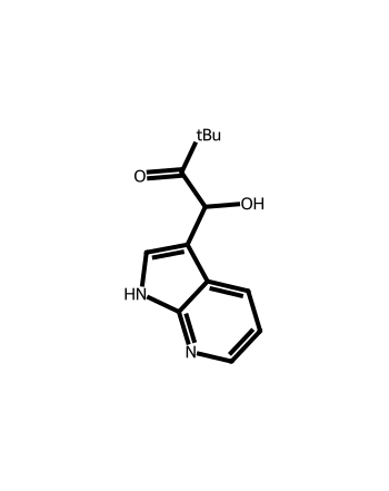 CC(C)(C)C(=O)C(O)c1c[nH]c2ncccc12